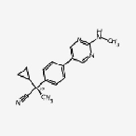 CNc1ncc(-c2ccc([C@](C)(C#N)C3CC3)cc2)cn1